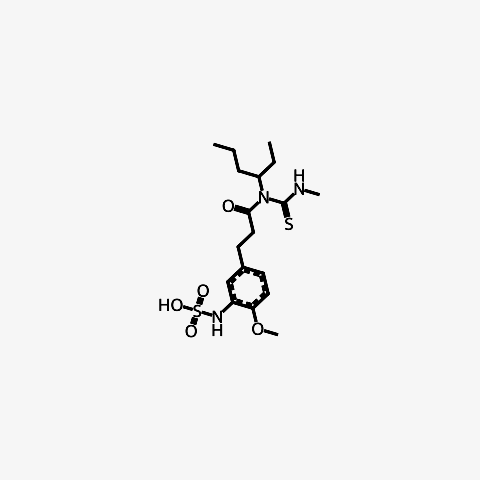 CCCC(CC)N(C(=O)CCc1ccc(OC)c(NS(=O)(=O)O)c1)C(=S)NC